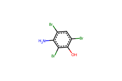 Nc1c(Br)cc(Br)c(O)c1Br